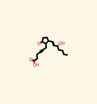 CCCCC(O)C=CC1CCC(=O)C1CC#CCCC(=O)O